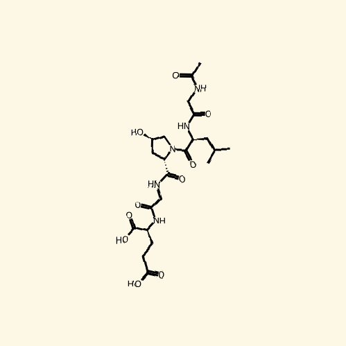 CC(=O)NCC(=O)N[C@@H](CC(C)C)C(=O)N1C[C@H](O)C[C@H]1C(=O)NCC(=O)N[C@@H](CCC(=O)O)C(=O)O